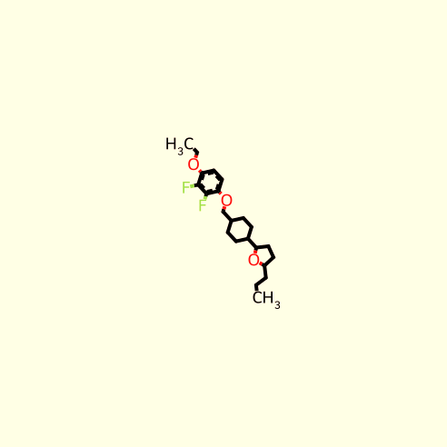 CCCC1CCC(C2CCC(COc3ccc(OCC)c(F)c3F)CC2)O1